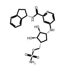 NS(=O)(=O)OC[C@H]1C[C@@H](Nc2ccnc(C(=O)N[C@H]3CCc4ccccc43)c2)[C@H](O)[C@@H]1O